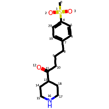 CS(=O)(=O)c1ccc(CCCC(=O)C2CCNCC2)cc1